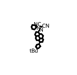 CC(C)(C)c1ccc(-c2ccc3ccc4c(-c5nc(C#N)c(C#N)n5-c5ccccc5)ccc5ccc2c3c54)cc1